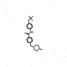 CN1CCN(Cc2ccc(C(=O)Nc3ccc(CC(C)(C)C)cc3)cc2)CC1